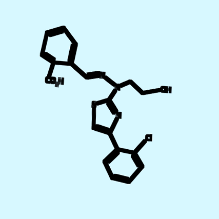 O=C(O)c1ccccc1/C=N/N(CCO)c1nc(-c2ccccc2Cl)cs1